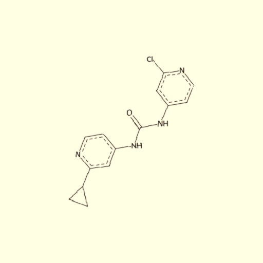 O=C(Nc1ccnc(Cl)c1)Nc1ccnc(C2CC2)c1